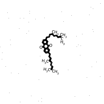 CC(C)=CCC/C(C)=C/CCc1ccc2c(c1)C(=O)c1cc(CCCC(C)CCC=C(C)C)ccc1C2=O